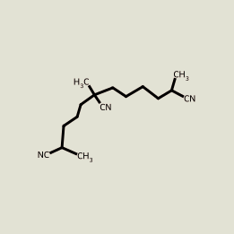 CC(C#N)CCCCC(C)(C#N)CCCC(C)C#N